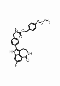 CN(Cc1ccc(-c2[nH]c3cc(F)cc4c3c2CCNC4=O)cc1)C(=O)OCc1ccc(SSP)cc1